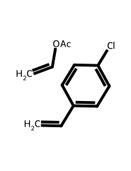 C=COC(C)=O.C=Cc1ccc(Cl)cc1